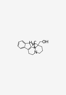 CC1(CO)CCCN2CCC3=C(Cc4ccccc43)[C@@H]21